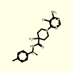 Cc1ccc([C@H](C)NC(=O)C2(N)CCN(c3ncnc(N)c3Cl)CC2)cc1